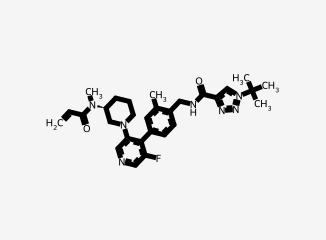 C=CC(=O)N(C)[C@@H]1CCCN(c2cncc(F)c2-c2ccc(CNC(=O)c3cn(C(C)(C)C)nn3)c(C)c2)C1